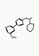 COc1cncc(-c2ccc(CN(C)C3CCCCC3)cc2)c1